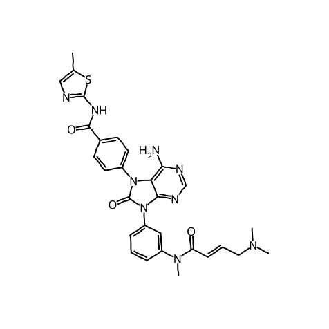 Cc1cnc(NC(=O)c2ccc(-n3c(=O)n(-c4cccc(N(C)C(=O)/C=C/CN(C)C)c4)c4ncnc(N)c43)cc2)s1